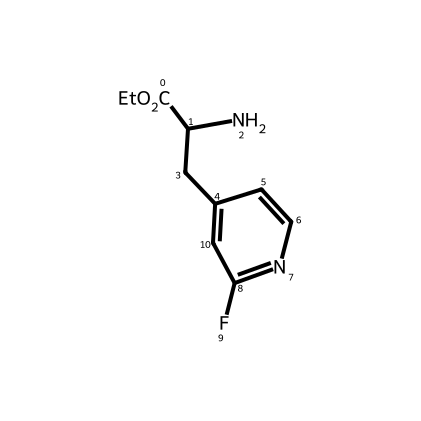 CCOC(=O)C(N)Cc1ccnc(F)c1